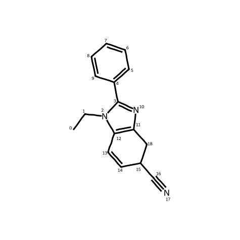 CCn1c(-c2ccccc2)nc2c1C=CC(C#N)C2